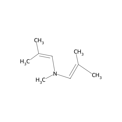 CC(C)=CN(C)C=C(C)C